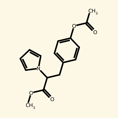 COC(=O)C(Cc1ccc(OC(C)=O)cc1)n1cccc1